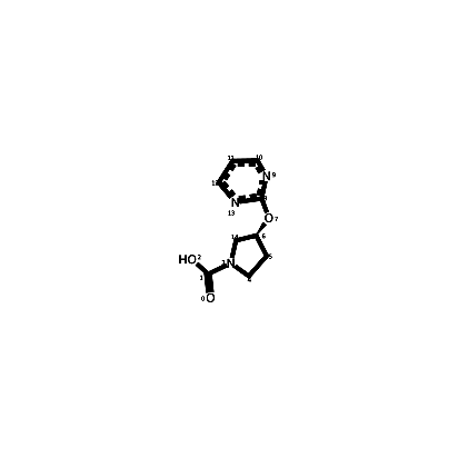 O=C(O)N1CC[C@H](Oc2ncccn2)C1